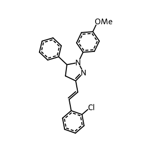 COc1ccc(N2N=C(C=Cc3ccccc3Cl)CC2c2ccccc2)cc1